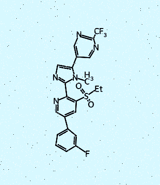 CCS(=O)(=O)c1cc(-c2cccc(F)c2)cnc1-c1ncc(-c2cnc(C(F)(F)F)nc2)n1C